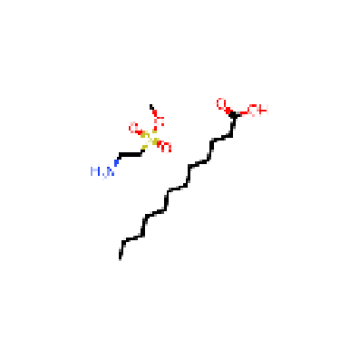 CCCCCCCCCCCC(=O)O.COS(=O)(=O)CCN